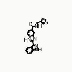 O=C(NCc1ccsc1)c1ccc2[nH]c(-c3n[nH]c4ccccc34)nc2c1